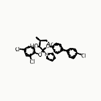 CC(=O)CC(C)C(O)C(Oc1ccc(-c2ccc(Cl)cc2)cc1)(Oc1ccc(Cl)cc1Cl)n1cccc1